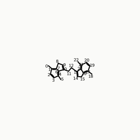 Cc1ccc(C)c2c1CC=C2CCC1=CCc2c(C)ccc(C)c21